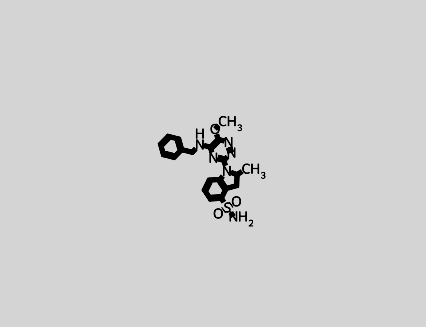 COc1nnc(N2c3cccc(S(N)(=O)=O)c3CC2C)nc1NCc1ccccc1